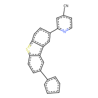 N#Cc1ccnc(-c2ccc3sc4ccc(-c5ccccc5)cc4c3c2)c1